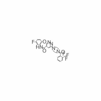 Cc1c(F)ccc2c1NC(=O)c1cc(N3CCN(C(=O)c4ccccc4C(F)(F)F)CC3)nnc1O2